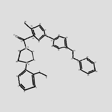 CCc1ccccc1N1CCN(C(=O)c2cc(-c3ccc(CCc4ccccc4)cc3)ccc2C)CC1